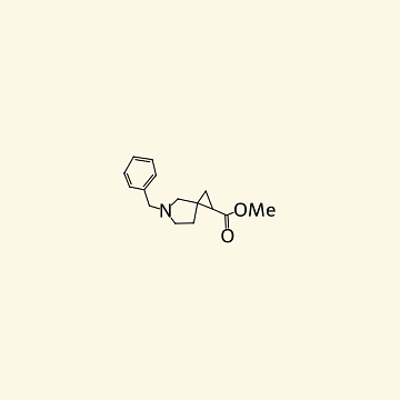 COC(=O)C1CC12CCN(Cc1ccccc1)C2